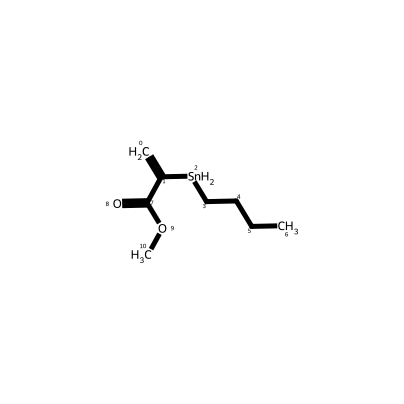 C=[C]([SnH2][CH2]CCC)C(=O)OC